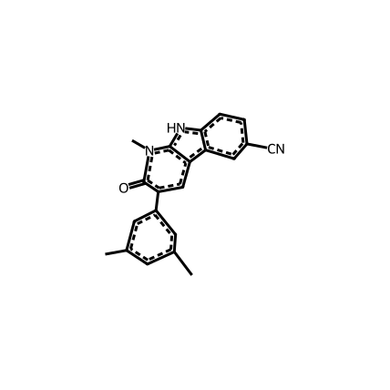 Cc1cc(C)cc(-c2cc3c4cc(C#N)ccc4[nH]c3n(C)c2=O)c1